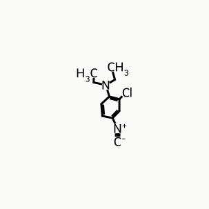 [C-]#[N+]c1ccc(N(CC)CC)c(Cl)c1